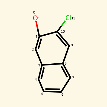 [O]c1cc2ccccc2cc1Cl